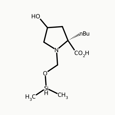 CCCC[C@@]1(C(=O)O)CC(O)CN1CO[SiH](C)C